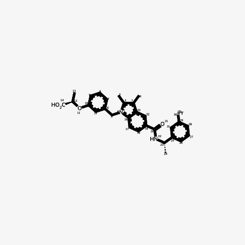 Cc1c(C)n(Cc2cccc(O[C@H](C)C(=O)O)c2)c2ccc(C(=O)N[C@@H](C)c3cccc(C(C)C)c3)cc12